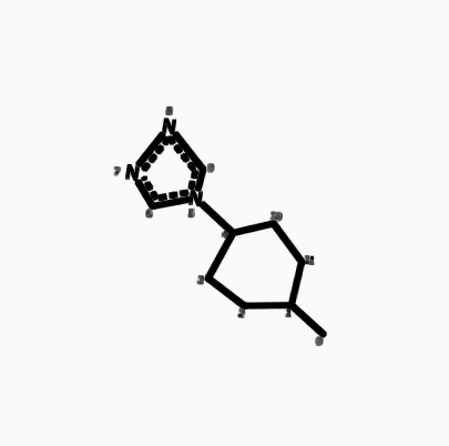 CC1CCC(n2cnnc2)CC1